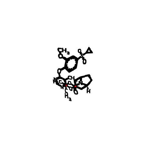 COc1cc(S(=O)(=O)C2CC2)ccc1Oc1ncnc(O[C@H]2CC3CC[C@@H](C2)N3C(=O)OC(C)C)c1C